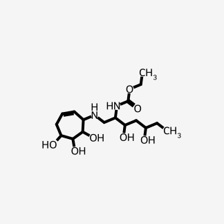 CCOC(=O)NC(CNC1C=CCC(O)C(O)C1O)C(O)CC(O)CC